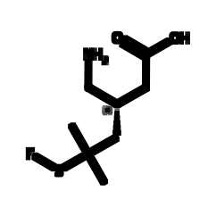 CC(C)(C[C@H](CN)CC(=O)O)SF